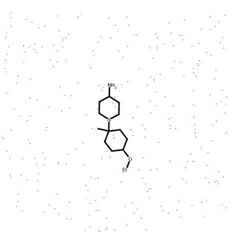 CCOC1CCC(C)(N2CCC(N)CC2)CC1